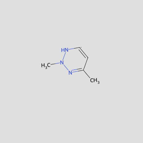 CC1=NN(C)N[C]=C1